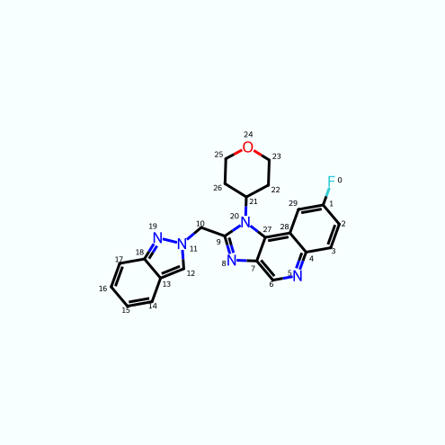 Fc1ccc2ncc3nc(Cn4cc5ccccc5n4)n(C4CCOCC4)c3c2c1